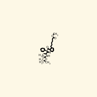 CCC(NC(=O)OC(C)(C)C)c1nc2cccc(CCCCCC(=O)OC)c2c(=O)n1-c1ccccc1